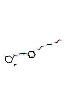 COCCOCCOCCOc1cccc(C(F)(F)CNC(O)[C@]2(O)C[C@H](C)CC[C@H]2C(C)C)c1